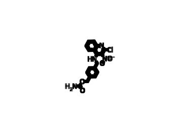 NC(=O)OCc1ccc(CNc2c([N+](=O)[O-])c(Cl)nc3ccccc23)cc1